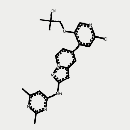 Cc1cc(Nc2cc3cc(-c4cc(Cl)ncc4OCC(C)(C)C#N)ccn3n2)nc(C)n1